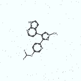 Cn1cc(-c2ccnc3[nH]ccc23)c(-c2ccc(OC(F)F)cn2)n1